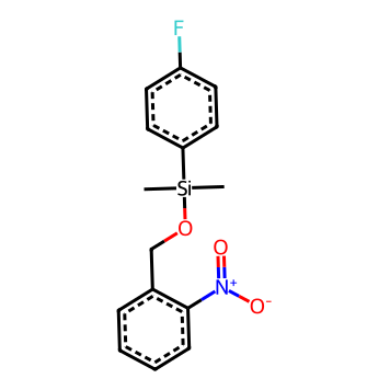 C[Si](C)(OCc1ccccc1[N+](=O)[O-])c1ccc(F)cc1